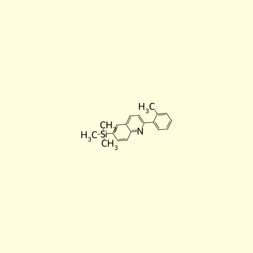 Cc1ccccc1-c1ccc2cc([Si](C)(C)C)ccc2n1